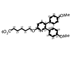 COc1ccc(-c2ccc(OCCCCCC(=O)O)nc2-c2ccc(OC)cc2)cc1